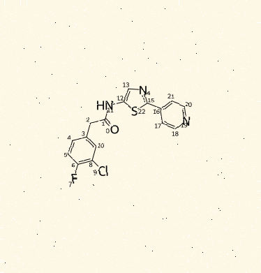 O=C(Cc1ccc(F)c(Cl)c1)Nc1cnc(-c2ccncc2)s1